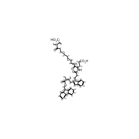 C[C@@H](C(=O)O)N(C)C(=O)CCOCCOCCNC(=O)[C@@H](CCC(=O)O)NC(=O)CCn1c(CN(C)N(C)C(=O)OCC2c3ccccc3-c3ccccc32)cc2ccccc21